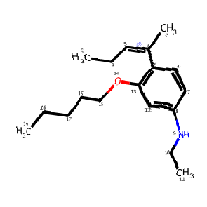 CC/C=C(/C)c1ccc(NCC)cc1OCCCCC